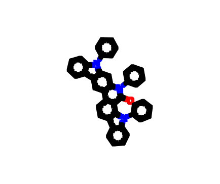 O=c1c2c(ccc3c4ccccc4n(-c4ccccc4)c32)c2cc3c4ccccc4n(-c4ccccc4)c3cc2n1-c1ccccc1